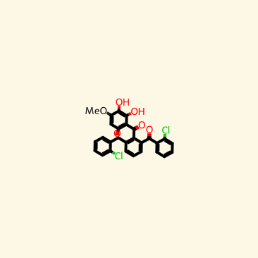 COc1cc(C)c(C(=O)c2c(C(=O)c3ccccc3Cl)cccc2C(=O)c2ccccc2Cl)c(O)c1O